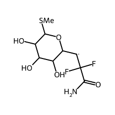 CSC1OC([CH]C(F)(F)C(N)=O)C(O)C(O)C1O